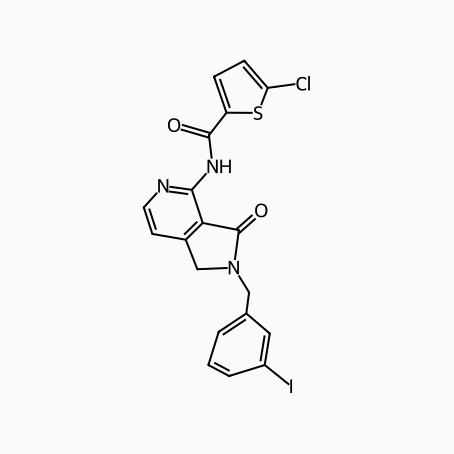 O=C(Nc1nccc2c1C(=O)N(Cc1cccc(I)c1)C2)c1ccc(Cl)s1